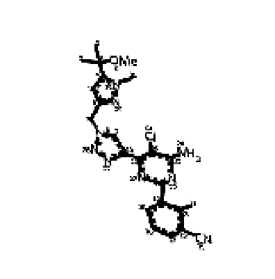 COC(C)(C)c1cc(Cn2cc(-c3nc(-c4cccc(C#N)c4C)nc(N)c3Cl)nn2)nn1C